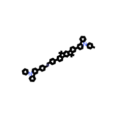 Cc1ccc(-n2c3ccccc3c3cc(-c4ccc5c(c4)C(C)(C)c4cc6c(cc4-5)C(C)(C)c4cc(-c5ccc(/C=C/c7ccc(-c8ccc9c(c8)c8ccccc8n9-c8ccccc8)cc7)cc5)ccc4-6)ccc32)cc1